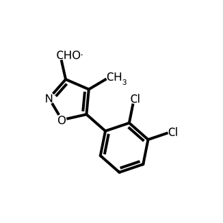 Cc1c([C]=O)noc1-c1cccc(Cl)c1Cl